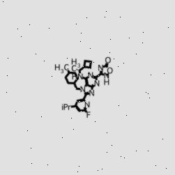 CC1CCC(Cn2c(-c3cc(C(C)C)cc(F)n3)nc3nc(-c4nc(=O)o[nH]4)nc(N[C@H](C)C4CCC4)c32)CC1